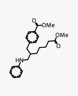 COC(=O)CCCCC(CNc1ccccc1)Cc1ccc(C(=O)OC)cc1